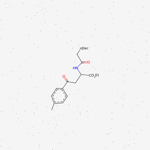 CCCCCCCCCCCC(=O)NC(CC(=O)c1ccc(C)cc1)C(=O)OCC